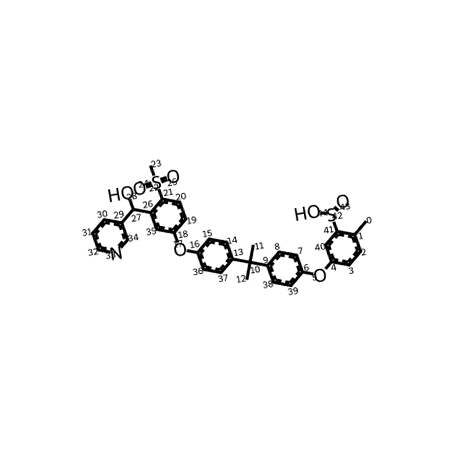 Cc1ccc(Oc2ccc(C(C)(C)c3ccc(Oc4ccc(S(C)(=O)=O)c(C(O)c5cccnc5)c4)cc3)cc2)cc1S(=O)O